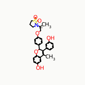 CC1=C(c2cccc(O)c2)C(c2ccc(OC[C@H](C)N3CCCS3(=O)=O)cc2)Oc2ccc(O)cc21